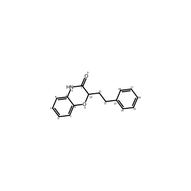 O=C1Nc2ccccc2OC1CCc1ccccc1